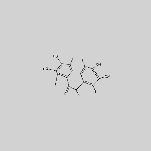 C=C(c1cc(I)c(O)c(O)c1I)C(C)c1cc(I)c(O)c(O)c1I